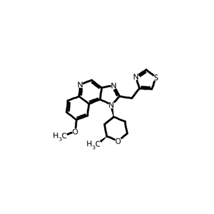 COc1ccc2ncc3nc(Cc4cscn4)n([C@H]4CCO[C@@H](C)C4)c3c2c1